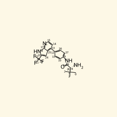 CC(C)(C)[C@@H](N)C(=O)Nc1ccc(-c2ccnc3[nH]c(C(F)(F)F)cc23)cc1